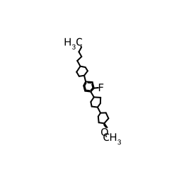 CCCCCC1CCC(c2ccc(C3CCC(C4CCC(=COC)CC4)CC3)c(F)c2)CC1